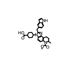 COC(=O)N1c2ccc3c(nc(Cc4ccc5[nH]ccc5c4)n3C3CCC(C(=O)O)CC3)c2CCC1C